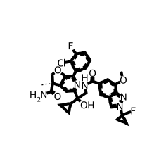 COc1cc(C(=O)NCC(O)(c2cc3c(c(-c4cccc(F)c4Cl)n2)OC[C@]3(C)C(N)=O)C2CC2)cc2cn(C3(F)CC3)nc12